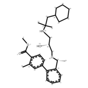 COC(=O)c1ccc(-c2ccccc2[C@@H](C)OC[C@H](O)CNC(C)(C)CC2CCCCC2)cc1C